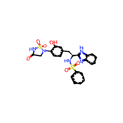 O=C1CN(c2ccc(C[C@H](NS(=O)(=O)c3ccccc3)c3nc4ccccc4[nH]3)cc2O)S(=O)(=O)N1